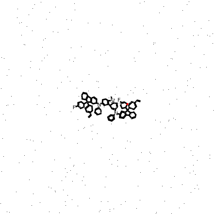 C=CC1=CCC(C2(C3CC=C(F)CC3)c3cc(N(C4=CC5C6=C(CCC(N(C7=CC=CCC7)C7C=CC8=C(C7)C(C7=CC=C(C=C)CC7)(C7CC=C(F)CC7)C7=C8C=CCC7)=C6)[Si](C)(C)C5C=C4)c4ccccc4)ccc3C3C=CCCC32)C=C1